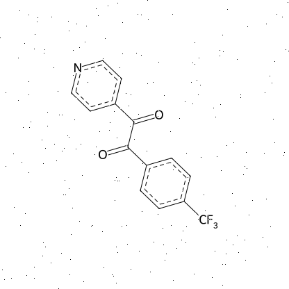 O=C(C(=O)c1ccc(C(F)(F)F)cc1)c1ccncc1